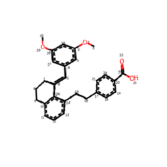 COc1cc(/C=C2\CCCc3cccc(CCc4ccc(C(=O)O)cc4)c32)cc(OC)c1